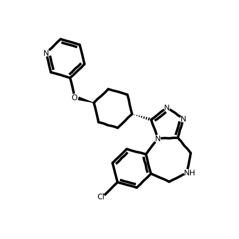 Clc1ccc2c(c1)CNCc1nnc([C@H]3CC[C@H](Oc4cccnc4)CC3)n1-2